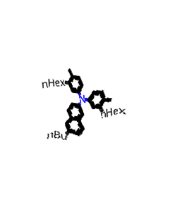 CCCCCCc1cc(N(c2ccc(C)c(CCCCCC)c2)c2ccc3cc(CCCC)ccc3c2)ccc1C